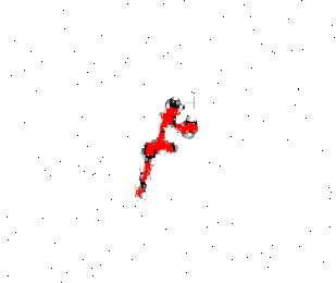 COCCOCCOCCOCCOCCN1c2cc3c(cc2C(C)=CC1(C)C)C(/C=C/C=C/C=C/C=C1\N(CCCCCC(=O)ON2C(=O)CCC2=O)c2ccc(S(=O)(=O)O)cc2C1(C)C)=CC(c1ccccc1)O3